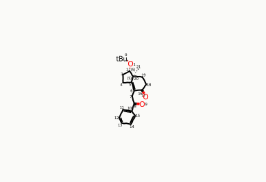 CC(C)(C)O[C@H]1CCC2=C(CC(=O)c3ccccc3)C(=O)CC[C@@]21C